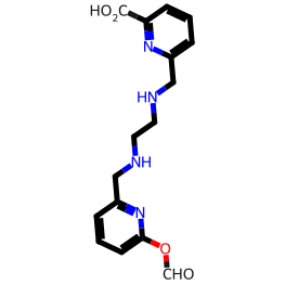 O=COc1cccc(CNCCNCc2cccc(C(=O)O)n2)n1